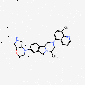 CC1CN(c2ccc(C#N)c3ncccc23)CC2c3ccc(N4CCOC5CNCC54)cc3CN12